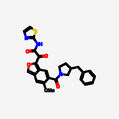 COc1cc2coc(C(=O)C(=O)Nc3nccs3)c2cc1C(=O)N1CCC(Cc2ccccc2)C1